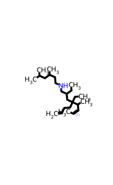 C=CCCC(CC)(CC(CC)CNCCC(C)CC(C)C)C(C)/C=C\C